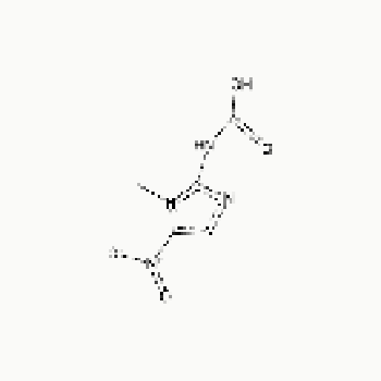 Cn1c([N+](=O)[O-])cnc1NC(=O)O